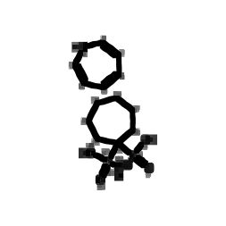 C1=CC=CNC=C1.O=P(O)(O)C1(P(=O)(O)O)CCCCCC1